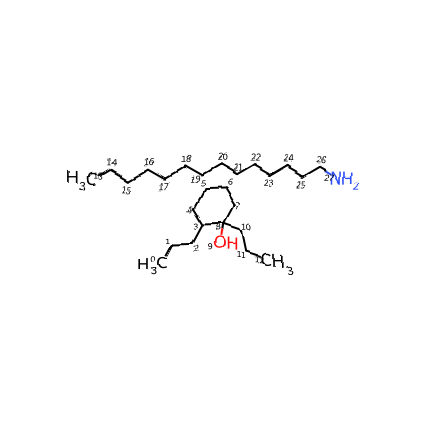 CCCC1CCCCC1(O)CCC.CCCCCCCCCCCCCCN